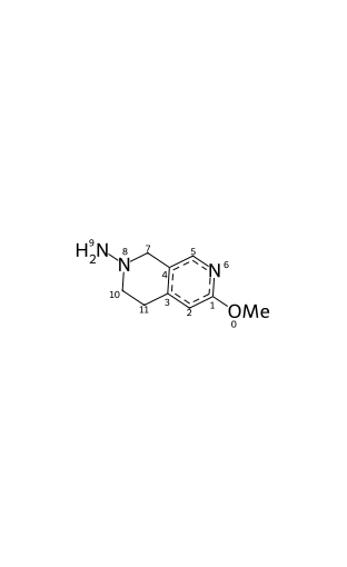 COc1cc2c(cn1)CN(N)CC2